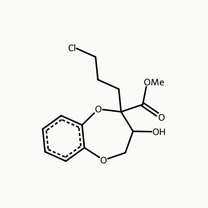 COC(=O)C1(CCCCl)Oc2ccccc2OCC1O